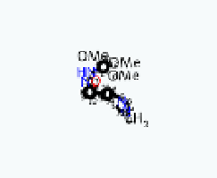 COc1cc(Nc2nc3cccc(-c4ccc(CN5CCN(C)CC5)cc4)c3o2)cc(OC)c1OC